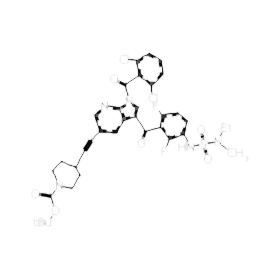 CCN(C)S(=O)(=O)Nc1ccc(F)c(C(=O)c2cn(C(=O)c3c(Cl)cccc3Cl)c3ncc(C#CC4CCN(C(=O)OC(C)(C)C)CC4)cc23)c1F